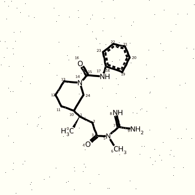 C[C@H](CC(=O)N(C)C(=N)N)C1CCCN(C(=O)Nc2ccccc2)C1